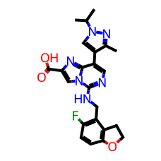 Cc1nn(C(C)C)cc1-c1cnc(NCc2c(F)ccc3c2CCO3)n2cc(C(=O)O)nc12